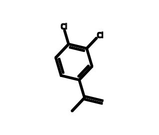 C=C(C)c1ccc(Cl)c(Cl)c1